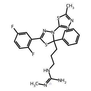 C/N=C(/N)NCCCC1(c2ccccc2)SC(c2cc(F)ccc2F)=NN1c1nnc(C)s1